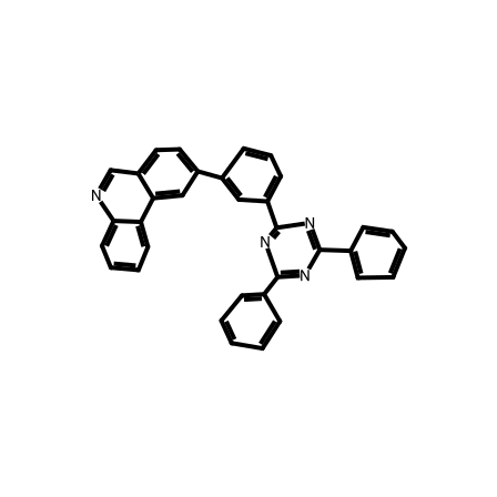 c1ccc(-c2nc(-c3ccccc3)nc(-c3cccc(-c4ccc5cnc6ccccc6c5c4)c3)n2)cc1